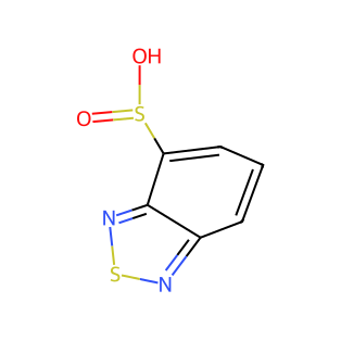 O=S(O)c1cccc2nsnc12